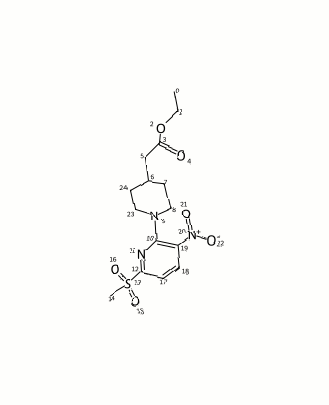 CCOC(=O)CC1CCN(c2nc(S(C)(=O)=O)ccc2[N+](=O)[O-])CC1